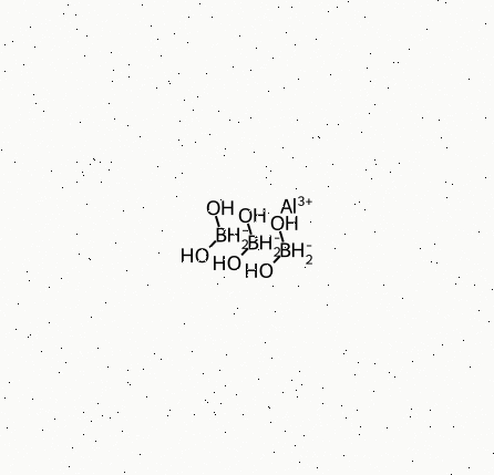 O[BH2-]O.O[BH2-]O.O[BH2-]O.[Al+3]